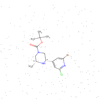 C[C@@H]1CN(C(=O)OC(C)(C)C)C[C@H](c2cc(Cl)nc(Br)c2)N1